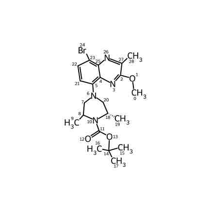 COc1nc2c(N3CC(C)N(C(=O)OC(C)(C)C)[C@@H](C)C3)ccc(Br)c2nc1C